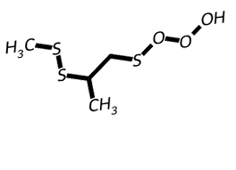 CSSC(C)CSOOO